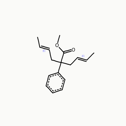 C/C=C/CC(C/C=C/C)(C(=O)OC)c1ccccc1